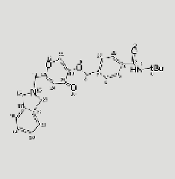 CC(C)(C)NC(=O)c1ccc(COc2coc(CN3Cc4ccccc4C3)cc2=O)cc1